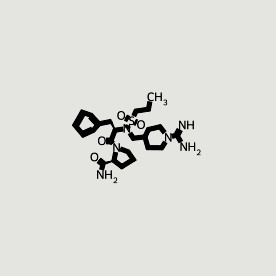 CCCS(=O)(=O)N(CC1CCN(C(=N)N)CC1)[C@H](Cc1ccccc1)C(=O)N1CCC[C@H]1C(N)=O